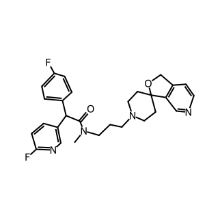 CN(CCCN1CCC2(CC1)OCc1ccncc12)C(=O)C(c1ccc(F)cc1)c1ccc(F)nc1